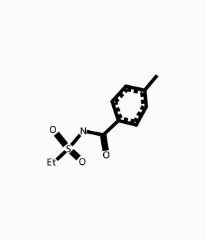 CCS(=O)(=O)[N]C(=O)c1ccc(C)cc1